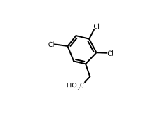 O=C(O)Cc1cc(Cl)cc(Cl)c1Cl